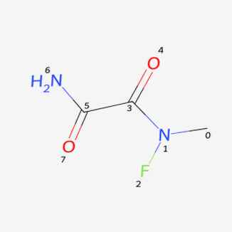 CN(F)C(=O)C(N)=O